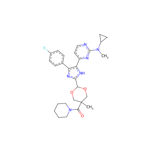 CN(c1nccc(-c2[nH]c(C3OCC(C)(C(=O)N4CCCCC4)CO3)nc2-c2ccc(F)cc2)n1)C1CC1